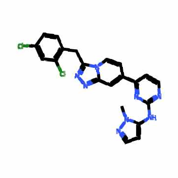 Cn1nccc1Nc1nccc(-c2ccn3c(Cc4ccc(Cl)cc4Cl)nnc3c2)n1